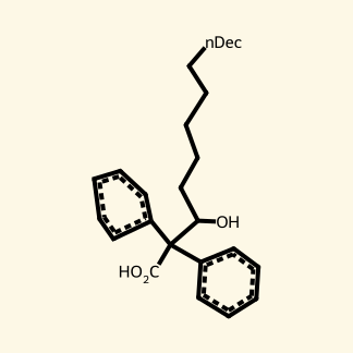 CCCCCCCCCCCCCCCC(O)C(C(=O)O)(c1ccccc1)c1ccccc1